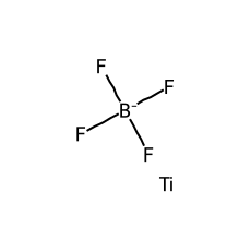 F[B-](F)(F)F.[Ti]